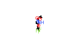 CC(C)(C)OC(=O)N1C=CC(OCC(C)(C)C(F)(F)F)N1